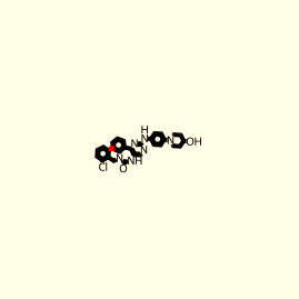 Cc1cccc(Cl)c1CN1C(=O)Nc2cnc(Nc3ccc(N4CCC(O)CC4)cc3)nc2-c2ccccc21